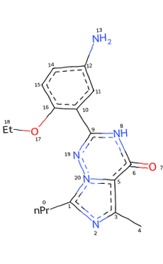 CCCc1nc(C)c2c(=O)[nH]c(-c3cc(N)ccc3OCC)nn12